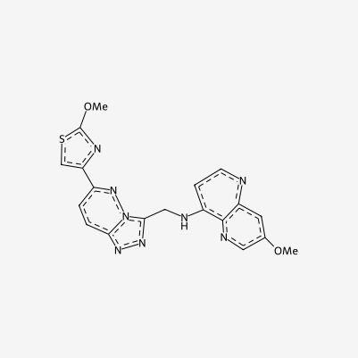 COc1cnc2c(NCc3nnc4ccc(-c5csc(OC)n5)nn34)ccnc2c1